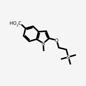 Cn1c(OCC[Si](C)(C)C)cc2cc(C(=O)O)ccc21